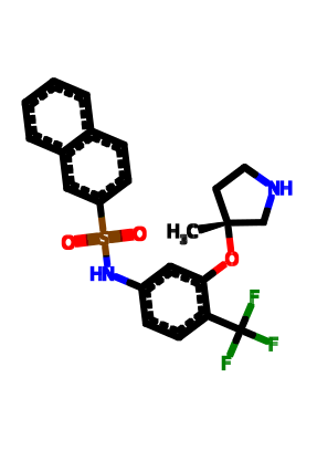 C[C@@]1(Oc2cc(NS(=O)(=O)c3ccc4ccccc4c3)ccc2C(F)(F)F)CCNC1